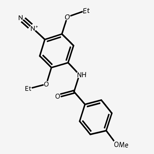 CCOc1cc(NC(=O)c2ccc(OC)cc2)c(OCC)cc1[N+]#N